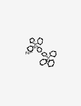 [Fe+2].c1ccc([PH](c2ccccc2)(c2ccccc2)[c-]2cccc2)cc1.c1ccc([PH](c2ccccc2)(c2ccccc2)[c-]2cccc2)cc1